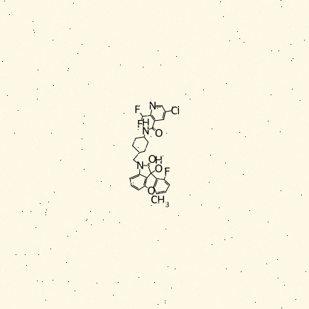 COc1cccc2c1C(O)(c1ccccc1F)C(=O)N2CC1CCC(NC(=O)c2cc(Cl)cnc2C(F)F)CC1